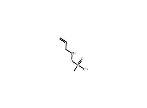 C=CCNOP(C)(=O)O